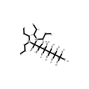 CCCN(CCC)C(F)(N(CCC)CCC)C(F)(F)C(F)(F)C(F)(F)C(F)(F)C(F)(F)F